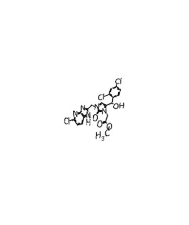 COC(=O)Cn1c(C(O)c2ccc(Cl)cc2Cl)cn(Cc2nc3nc(Cl)ccc3[nH]2)c1=O